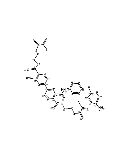 C=C(C)C(=C)CCCCC(=O)c1ccc(-c2ccc(C(=C)OCCCC(=C)C(=C)C)c(C(=C)Nc3ccc(Cc4ccc(N)cc4)cc3)c2)cc1C(C)C